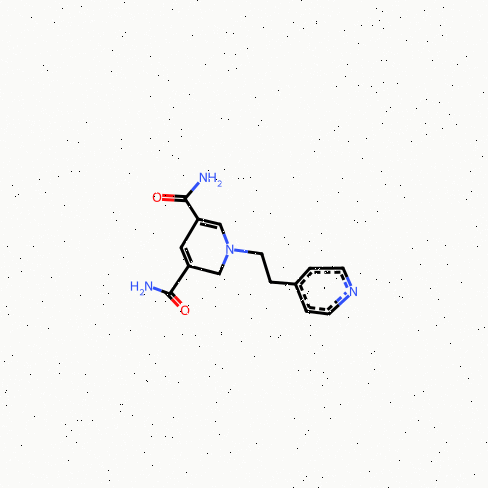 NC(=O)C1=CN(CCc2ccncc2)CC(C(N)=O)=C1